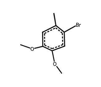 COc1cc(C)c(Br)cc1OC